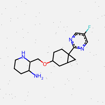 NC1CCCNC1COC1CCC2(c3ncc(F)cn3)CC2C1